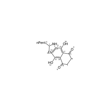 CCCCCC(N)CC.O=C1CCC(=O)c2c(O)ccc(O)c21